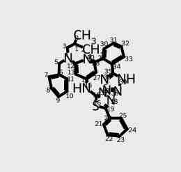 CC(C)CN(Cc1ccccc1)c1cc(Nc2nnc(-c3ccccc3)s2)cc(-c2ccccc2-c2nnn[nH]2)n1